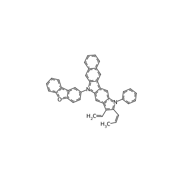 C=Cc1c(/C=C\C)n(-c2ccccc2)c2cc3c4cc5ccccc5cc4n(-c4ccc5oc6ccccc6c5c4)c3cc12